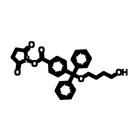 O=C(ON1C(=O)CCC1=O)c1ccc(C(OCCCCO)(c2ccccc2)c2ccccc2)cc1